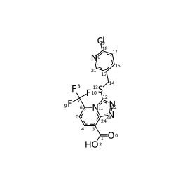 O=C(O)c1ccc(C(F)(F)F)n2c(SCc3ccc(Cl)nc3)nnc12